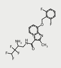 Cc1nc2c(OCc3c(F)cccc3F)cccn2c1C(=O)NCC(N)C(F)(F)C(F)F